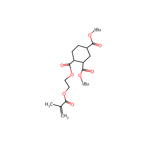 C=C(C)C(=O)OCCOC(=O)C1CCC(C(=O)OC(C)(C)C)CC1C(=O)OC(C)(C)C